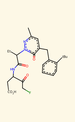 CCC(C(=O)NC(CC(=O)O)C(=O)CF)n1nc(C)cc(Cc2ccccc2C(C)(C)C)c1=O